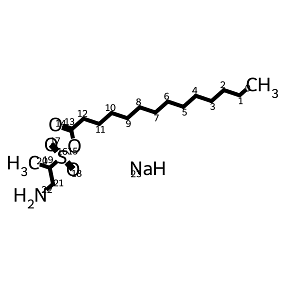 CCCCCCCCCCCCCC(=O)OS(=O)(=O)C(C)CN.[NaH]